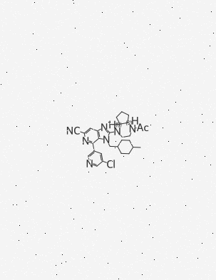 CC(=O)N1CCN(c2nc3cc(C#N)nc(-c4cncc(Cl)c4)c3n2CC2CCC(C)CC2)[C@@H]2CCC[C@H]21